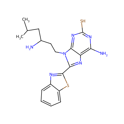 CC(C)CC(N)CCn1c(-c2nc3ccccc3s2)nc2c(N)nc(S)nc21